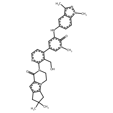 Cc1nn(C)c2ccc(Nc3cc(-c4ccnc(N5CCn6c(cc7c6CC(C)(C)C7)C5=O)c4CO)cn(C)c3=O)cc12